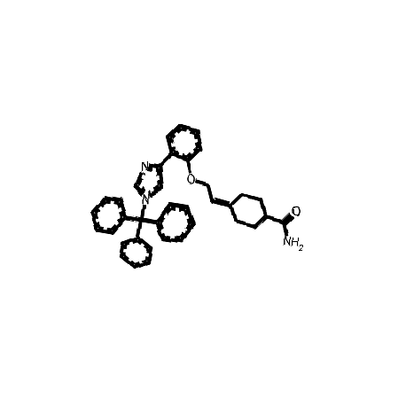 NC(=O)C1CCC(=CCOc2ccccc2-c2cn(C(c3ccccc3)(c3ccccc3)c3ccccc3)cn2)CC1